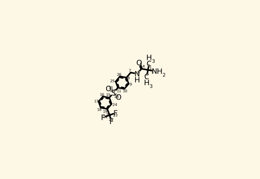 CC(C)(N)C(=O)NCc1ccc(S(=O)(=O)c2cccc(C(F)(F)F)c2)cc1